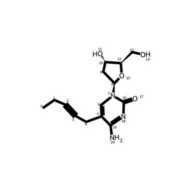 CCC#CCc1cn([C@H]2C[C@H](O)[C@@H](CO)O2)c(=O)nc1N